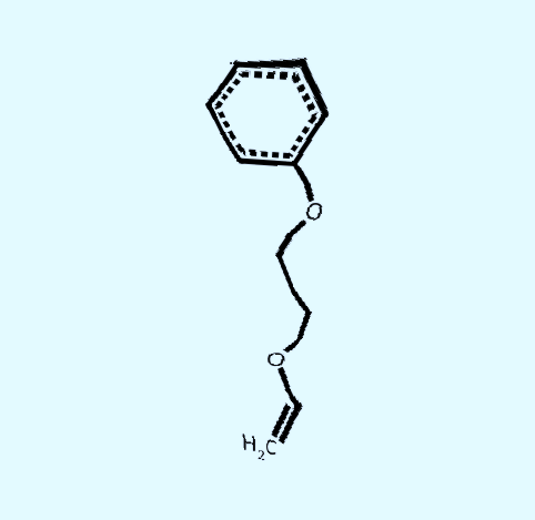 C=COCCOc1cc[c]cc1